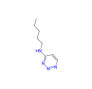 CCCCCNc1ccnnn1